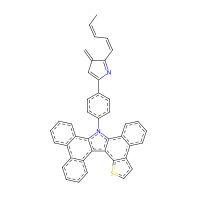 C=C1C=C(c2ccc(-n3c4c5ccccc5c5ccccc5c4c4c5sccc5c5ccccc5c43)cc2)N=C1/C=C\C=C/C